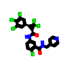 O=C(NCc1ccncc1)c1cc(NC(=O)[C@H]2[C@H](c3cc(Cl)c(Cl)c(Cl)c3)C2(Cl)Cl)ccc1Cl